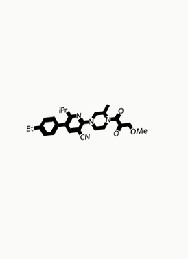 CCc1ccc(-c2cc(C#N)c(N3CCN(C(=O)C(=O)COC)C(C)C3)nc2C(C)C)cc1